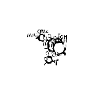 C=C1CO[C@@H]2[C@@H](C)/C(=N/OC(C)=O)[C@H](C)C[C@@](C)(OC1)[C@H](O[C@@H]1O[C@H](C)C[C@H](N(C)C)[C@H]1OC(C)=O)[C@@H](C)[C@H](O[C@H]1C[C@@](C)(OC)[C@@H](OC)[C@H](C)O1)[C@@H](C)C(=O)O[C@H](CC)[C@@]2(C)O